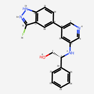 OC[C@H](Nc1cncc(-c2ccc3[nH]nc(F)c3c2)c1)c1ccccc1